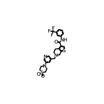 O=C(Nc1cccc(C(F)(F)F)c1)c1csc2c1CCN(Cc1cncc(N3CCS(=O)(=O)CC3)c1)C2